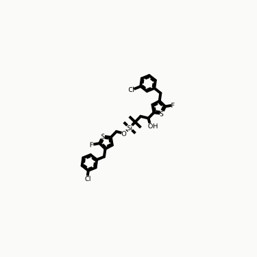 CC(C)(CC(O)c1cc(Cc2cccc(Cl)c2)c(F)s1)[Si](C)(C)OCc1cc(Cc2cccc(Cl)c2)c(F)s1